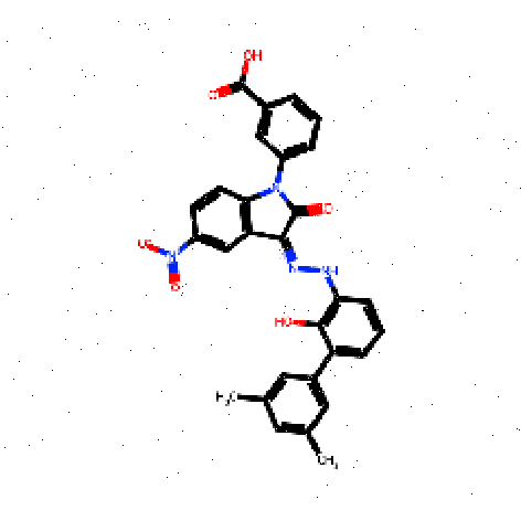 Cc1cc(C)cc(-c2cccc(N/N=C3\C(=O)N(c4cccc(C(=O)O)c4)c4ccc([N+](=O)[O-])cc43)c2O)c1